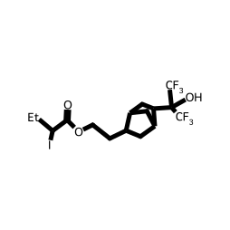 CCC(I)C(=O)OCCC1CC2CC1CC2C(O)(C(F)(F)F)C(F)(F)F